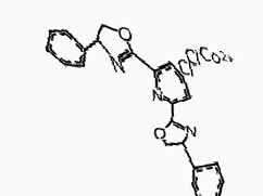 [Cl-].[Cl-].[Co+2].c1ccc(C2COC(c3cccc(C4=NC(c5ccccc5)CO4)n3)=N2)cc1